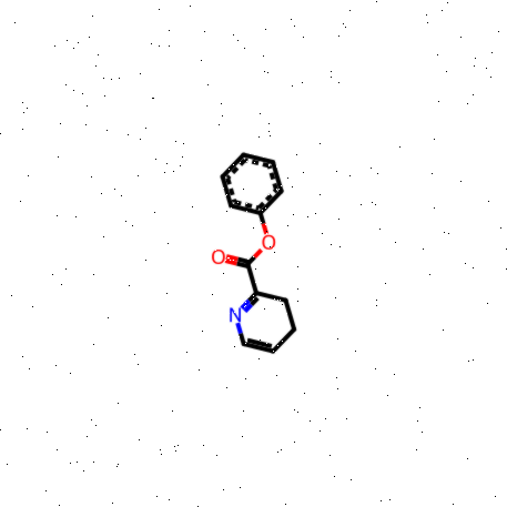 O=C(Oc1ccccc1)C1=NC=CCC1